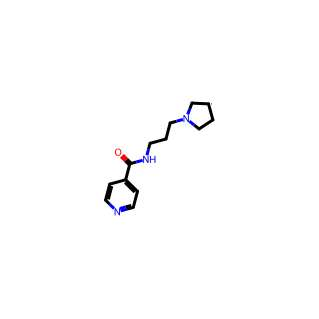 O=C(NCCCN1C[CH]CC1)c1ccncc1